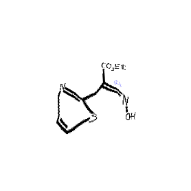 CCOC(=O)/C(=N/O)c1nccs1